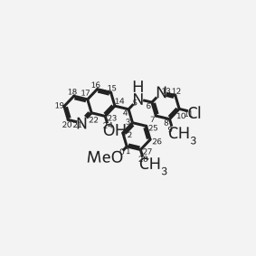 COc1cc(C(Nc2cc(C)c(Cl)cn2)c2ccc3cccnc3c2O)ccc1C